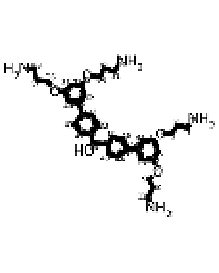 NCCCOc1cc(OCCCN)cc(-c2ccc(C(O)c3ccc(-c4cc(OCCCN)cc(OCCCN)c4)cc3)cc2)c1